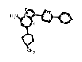 C=C1CCC(c2cc(N)n3ncc(-c4ccc(-c5ccccc5)nc4)c3n2)CC1